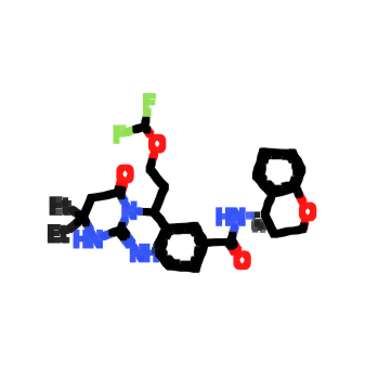 CCC1(CC)CC(=O)N(C(CCOC(F)F)c2cccc(C(=O)N[C@H]3CCOc4ccccc43)c2)C(=N)N1